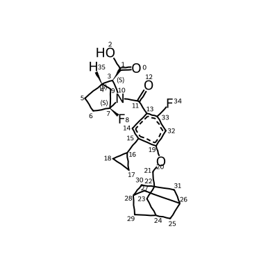 O=C(O)[C@@H]1[C@H]2CC[C@](F)(C2)N1C(=O)c1cc(C2CC2)c(OCC23CC4CC(CC(C4)C2)C3)cc1F